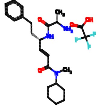 C[C@H](N)C(=O)N[C@H](C=CC(=O)N(C)C1CCCCC1)CCc1ccccc1.O=C(O)C(F)(F)F